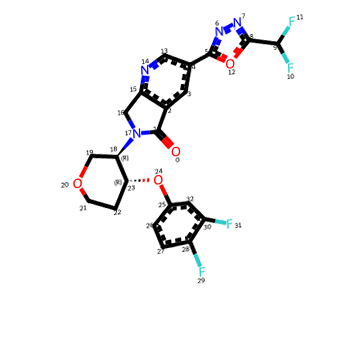 O=C1c2cc(-c3nnc(C(F)F)o3)cnc2CN1[C@@H]1COCC[C@H]1Oc1ccc(F)c(F)c1